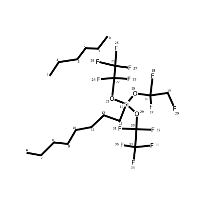 CCCCCC.CCCCCCCC[Si](OC(F)(F)CF)(OC(F)(F)C(F)(F)F)OC(F)(F)C(F)(F)F